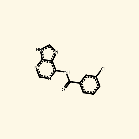 O=C(Nc1ncnc2[nH]cnc12)c1cccc(Cl)c1